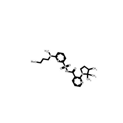 COCCCN(C)c1cccc(S(=O)(=O)NC(=O)c2cccnc2N2CCC(C)C2(C)C)n1